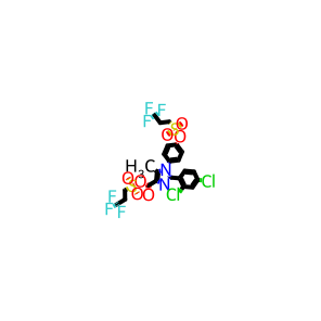 Cc1c(C(=O)OS(=O)(=O)CCC(F)(F)F)nc(-c2ccc(Cl)cc2Cl)n1-c1ccc(OS(=O)(=O)CCC(F)(F)F)cc1